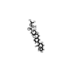 Cc1c(-c2ccc3c(c2)CCC2(CCN(C(=O)NOC(C)C)CC2)O3)ccc2ccnn12